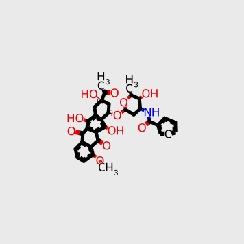 COc1cccc2c1C(=O)c1c(O)c3c(c(O)c1C2=O)C[C@@](O)(C(C)=O)C[C@@H]3OC1CC(NC(=O)c2ccccc2)C(O)C(C)O1